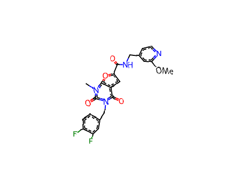 COc1cc(CNC(=O)c2cc3c(=O)n(Cc4ccc(F)c(F)c4)c(=O)n(C)c3o2)ccn1